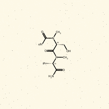 CCCC(=O)N(C)[C@H](CO)C(=O)N(C)[C@H](C(N)=O)C(C)C